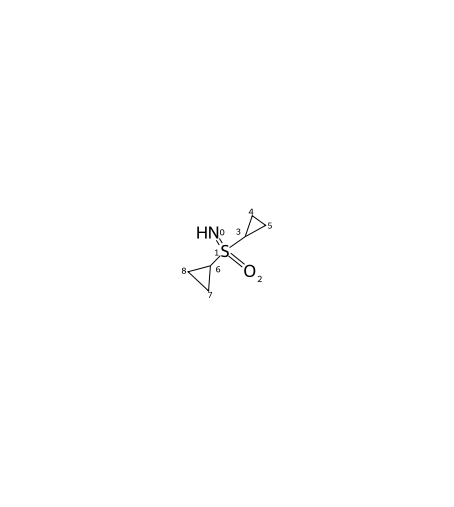 N=S(=O)(C1CC1)C1CC1